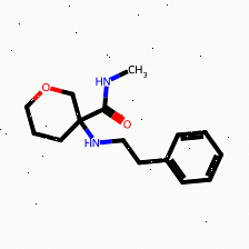 CNC(=O)C1(NCCc2ccccc2)CCCOC1